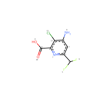 Nc1cc(C(F)F)nc(C(=O)O)c1Cl